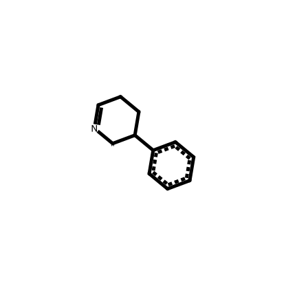 [C]1N=CCCC1c1ccccc1